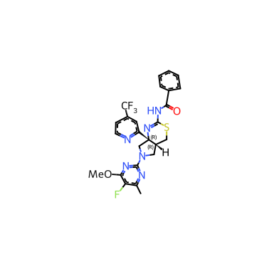 COc1nc(N2C[C@H]3CSC(NC(=O)c4ccccc4)=N[C@@]3(c3cc(C(F)(F)F)ccn3)C2)nc(C)c1F